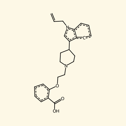 C=CCn1cc(C2CCN(CCOc3ccccc3C(=O)O)CC2)c2ccccc21